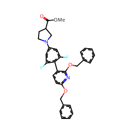 COC(=O)C1CCN(c2cc(F)c(-c3ccc(OCc4ccccc4)nc3OCc3ccccc3)c(F)c2)C1